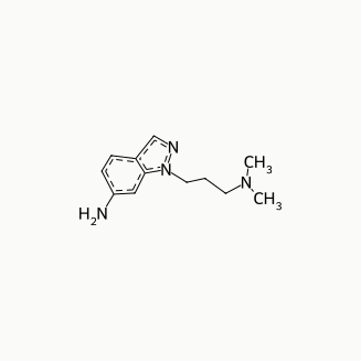 CN(C)CCCn1ncc2ccc(N)cc21